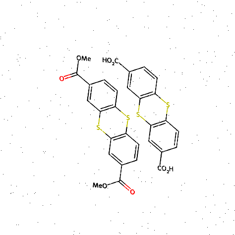 COC(=O)c1ccc2c(c1)Sc1cc(C(=O)OC)ccc1S2.O=C(O)c1ccc2c(c1)Sc1cc(C(=O)O)ccc1S2